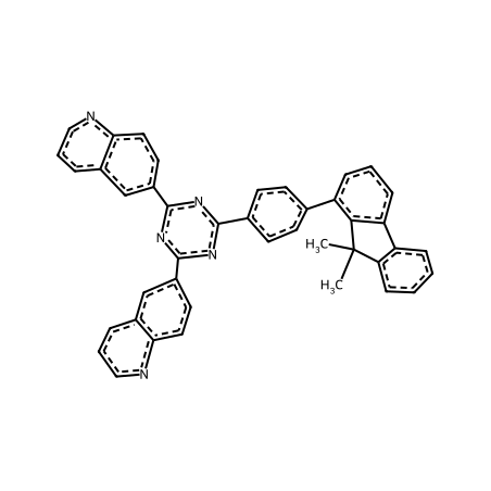 CC1(C)c2ccccc2-c2cccc(-c3ccc(-c4nc(-c5ccc6ncccc6c5)nc(-c5ccc6ncccc6c5)n4)cc3)c21